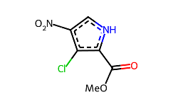 COC(=O)c1[nH]cc([N+](=O)[O-])c1Cl